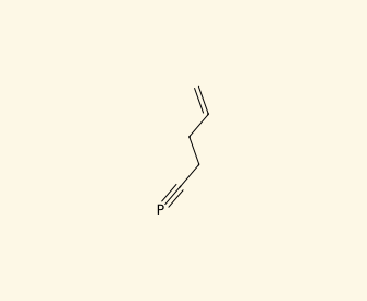 C=CCCC#P